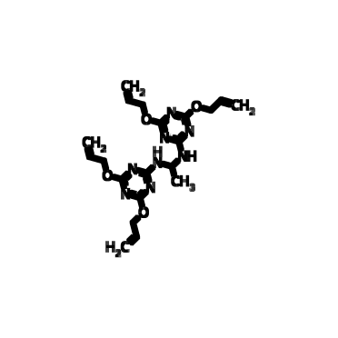 C=CCOc1nc(NC(C)Nc2nc(OCC=C)nc(OCC=C)n2)nc(OCC=C)n1